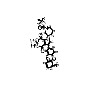 CC(C)(C)OC(=O)N1CCC[C@@H](n2cc(-c3ccc(Oc4c(F)cccc4F)cc3)c(C(=O)O)c2C(=O)O)C1